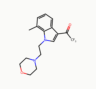 Cc1cccc2c(C(=O)C(F)(F)F)cn(CCN3CCOCC3)c12